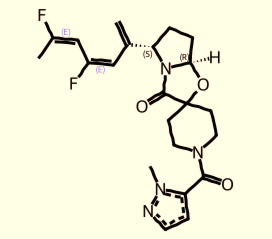 C=C(/C=C(F)\C=C(/C)F)[C@@H]1CC[C@H]2OC3(CCN(C(=O)c4ccnn4C)CC3)C(=O)N21